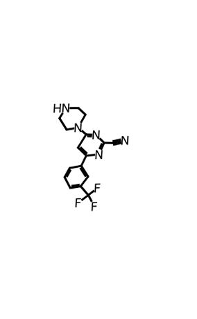 N#Cc1nc(-c2cccc(C(F)(F)F)c2)cc(N2CCNCC2)n1